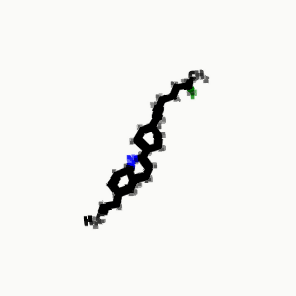 C=CCc1ccc2nc(-c3ccc(C#CCCCC(C)F)cc3)ccc2c1